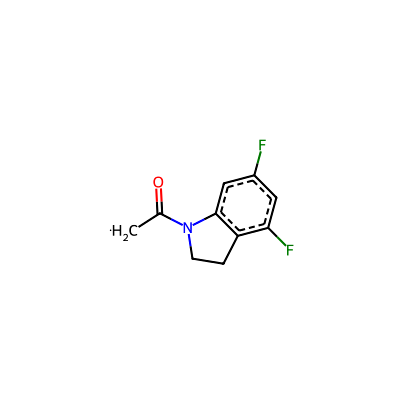 [CH2]C(=O)N1CCc2c(F)cc(F)cc21